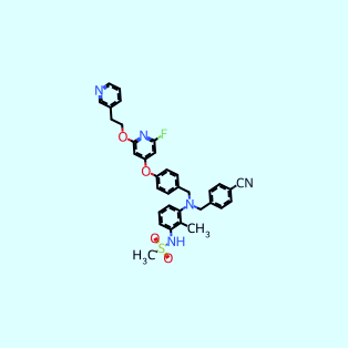 Cc1c(NS(C)(=O)=O)cccc1N(Cc1ccc(C#N)cc1)Cc1ccc(Oc2cc(F)nc(OCCc3cccnc3)c2)cc1